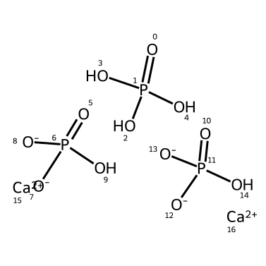 O=P(O)(O)O.O=P([O-])([O-])O.O=P([O-])([O-])O.[Ca+2].[Ca+2]